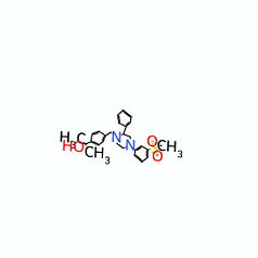 CC(C)(O)c1ccc(CN2CCN(c3cccc(S(C)(=O)=O)c3)CC2c2ccccc2)cc1